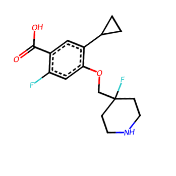 O=C(O)c1cc(C2CC2)c(OCC2(F)CCNCC2)cc1F